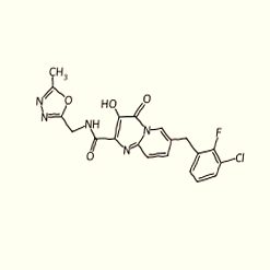 Cc1nnc(CNC(=O)c2nc3ccc(Cc4cccc(Cl)c4F)cn3c(=O)c2O)o1